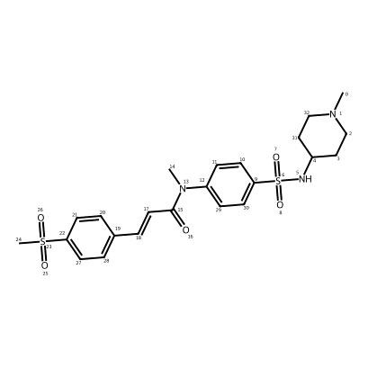 CN1CCC(NS(=O)(=O)c2ccc(N(C)C(=O)C=Cc3ccc(S(C)(=O)=O)cc3)cc2)CC1